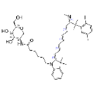 C\N=C(/C=C/C=C/C=C/C=C1/N(CCCCCC(=O)N[C@@H]2CO[C@H](CO)[C@@H](O)[C@@H]2O)c2ccccc2C1(C)C)C(C)(C)c1cc(C)ccc1I